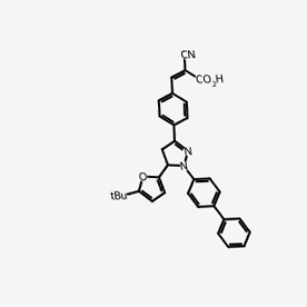 CC(C)(C)c1ccc(C2CC(c3ccc(/C=C(/C#N)C(=O)O)cc3)=NN2c2ccc(-c3ccccc3)cc2)o1